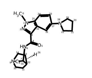 Cn1nc(C(=O)N[C@@H]2CN3CCC2CC3)c2cc(N3CCCC3)ccc21